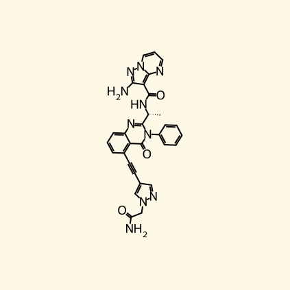 C[C@@H](NC(=O)c1c(N)nn2cccnc12)c1nc2cccc(C#Cc3cnn(CC(N)=O)c3)c2c(=O)n1-c1ccccc1